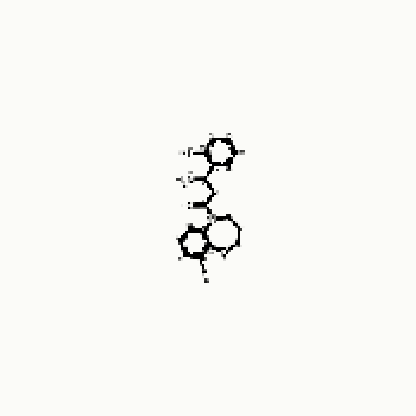 NC(CC(=O)N1CCCOc2c(F)cccc21)c1ccccc1F